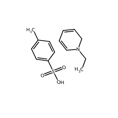 CCN1C=CC=CC1.Cc1ccc(S(=O)(=O)O)cc1